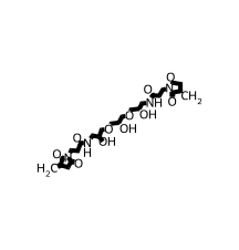 C=C1CC(=O)N(CCC(=O)NCC(O)COCC(O)COCC(O)CNC(=O)CCN2C(=O)CC(=C)C2=O)C1=O